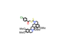 CCC1CN2CCc3cc(OC)c(OC)cc3C2CC1CC1c2cc(OC)c(OC)cc2CCN1C(=S)SCC(=O)c1ccc(Cl)cc1